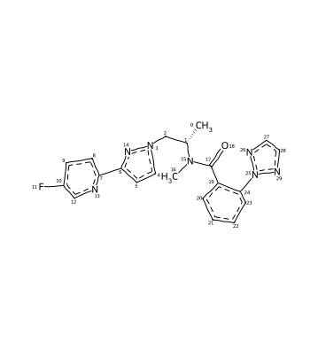 C[C@@H](Cn1ccc(-c2ccc(F)cn2)n1)N(C)C(=O)c1ccccc1-n1nccn1